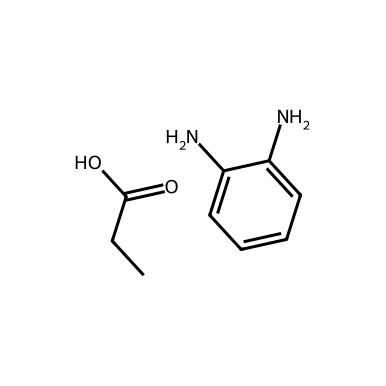 CCC(=O)O.Nc1ccccc1N